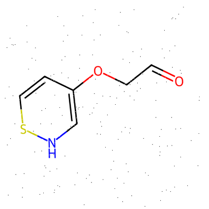 O=CCOC1=CNSC=C1